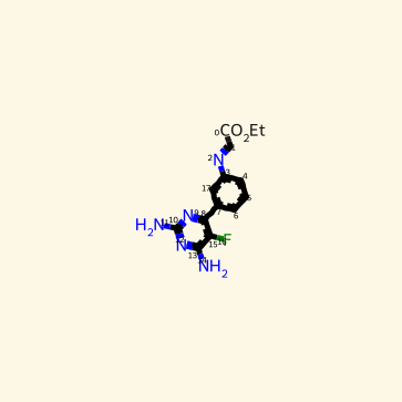 CCOC(=O)C=Nc1cccc(-c2nc(N)nc(N)c2F)c1